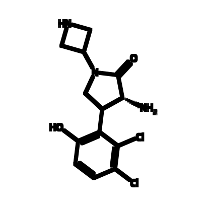 N[C@H]1C(=O)N(C2CNC2)CC1c1c(O)ccc(Cl)c1Cl